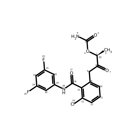 C[C@H](OC(N)=O)C(=O)Cc1cccc(Cl)c1C(=O)Nc1cc(F)cc(F)c1